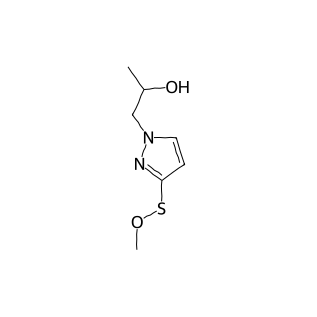 COSc1ccn(CC(C)O)n1